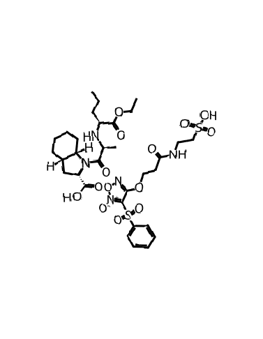 CCC[C@H](N[C@@H](C)C(=O)N1[C@H](C(=O)O)C[C@@H]2CCCC[C@@H]21)C(=O)OCC.O=C(CCOc1no[n+]([O-])c1S(=O)(=O)c1ccccc1)NCCS(=O)(=O)O